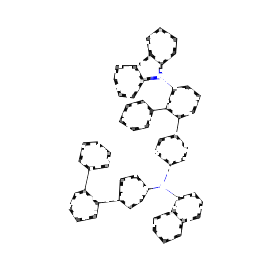 c1ccc(-c2ccccc2-c2ccc(N(c3ccc(-c4cccc(-n5c6ccccc6c6ccccc65)c4-c4ccccc4)cc3)c3cccc4ccccc34)cc2)cc1